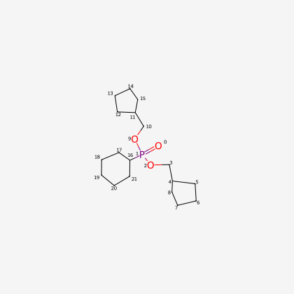 O=P(OCC1CCCC1)(OCC1CCCC1)C1CCCCC1